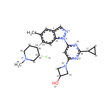 Cc1cc2cnn(-c3cc(N4CC(O)C4)nc(C4CC4)n3)c2cc1[C@H]1CCN(C)C[C@H]1F